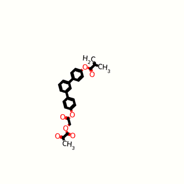 C=C(C)C(=O)Oc1ccc(-c2cccc(-c3ccc(OC(=O)COC(=O)C(C)=O)cc3)c2)cc1